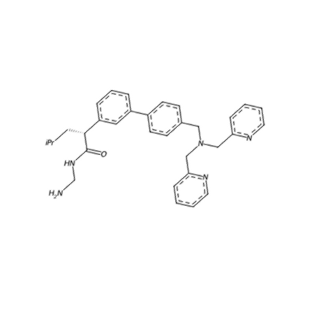 CC(C)C[C@@H](C(=O)NCN)c1cccc(-c2ccc(CN(Cc3ccccn3)Cc3ccccn3)cc2)c1